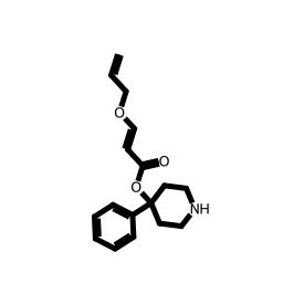 C=CCO/C=C/C(=O)OC1(c2ccccc2)CCNCC1